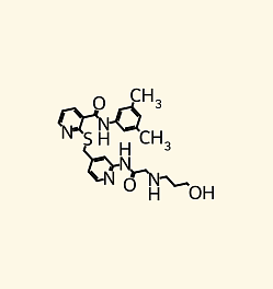 Cc1cc(C)cc(NC(=O)c2cccnc2SCc2ccnc(NC(=O)CNCCCO)c2)c1